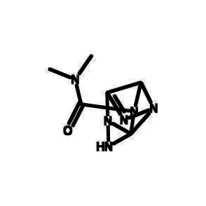 CN(C)C(=O)N1C2C3=NN2C12NN32